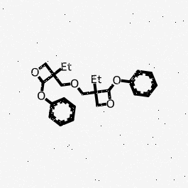 CCC1(COCC2(CC)COC2Oc2ccccc2)COC1Oc1ccccc1